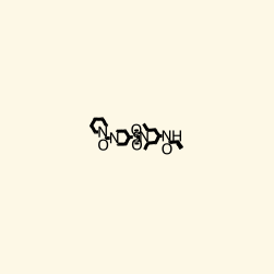 C=CC(=O)NC1CC(C)N(S(=O)(=O)C2CCN(C(=O)N3CCCCC3)CC2)C(C)C1